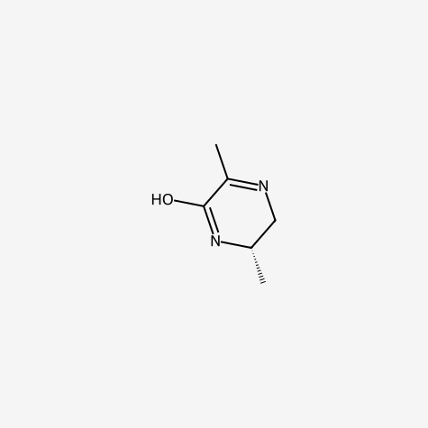 CC1=NC[C@H](C)N=C1O